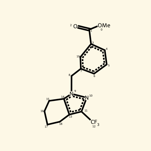 COC(=O)c1cccc(Cn2nc(C(F)(F)F)c3c2CCCC3)c1